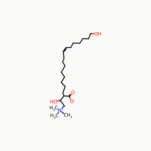 C[N+](C)(C)CC(O)C(CCCCCCCC/C=C\CCCCCCO)C(=O)[O-]